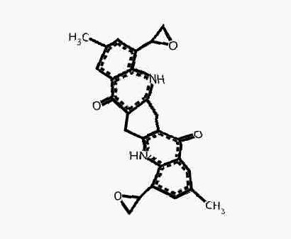 Cc1cc(C2CO2)c2[nH]c3c(c(=O)c2c1)Cc1[nH]c2c(C4CO4)cc(C)cc2c(=O)c1C3